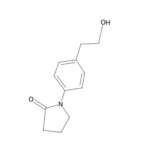 O=C1CCCN1c1ccc(CCO)cc1